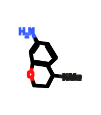 CNC1CCOc2cc(N)ccc21